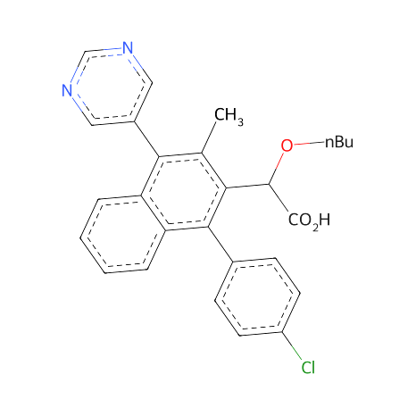 CCCCOC(C(=O)O)c1c(C)c(-c2cncnc2)c2ccccc2c1-c1ccc(Cl)cc1